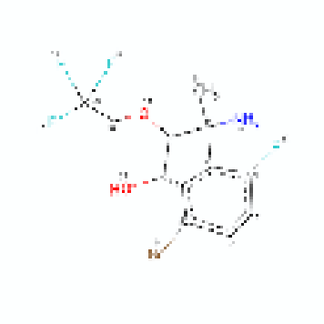 CC(N)(c1cc(Br)ccc1F)C(CO)OCC(F)(F)F